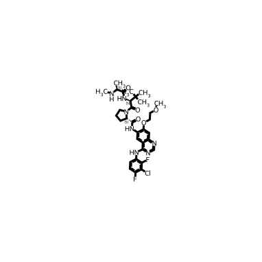 CN[C@@H](C)C(=O)N[C@H](C(=O)N1CCC[C@H]1C(=O)Nc1cc2c(Nc3ccc(F)c(Cl)c3F)ncnc2cc1OCCOC)C(C)(C)C